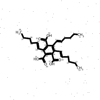 CCCCC=Cc1c(C=CCCCC)c(C(=O)O)c(C(=O)O)c(C=CCCCC)c1C(=O)O